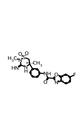 CN1C(=N)N[C@](C)(c2cccc(NC(=O)c3nc4ccc(F)cc4o3)c2)CS1(=O)=O